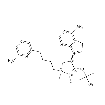 C[C@H]1[C@@H](OC(C)(C)O)[C@H](n2ccc3c(N)ncnc32)C[C@]1(C)CCCCc1cccc(N)n1